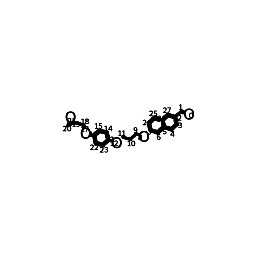 O=Cc1ccc2cc(OCCCOc3ccc(OCC4CO4)cc3)ccc2c1